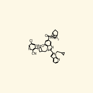 COc1cc(C(=O)N2CC3CCC2[C@@H]3N)cc2nc(-c3cc4cccnc4n3CC3CC3)n(CC3CN(c4cc(Cl)cnc4C#N)C3)c12